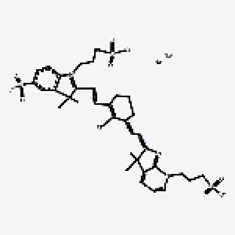 CC1(C)C2=CC=CN(CCCS(=O)(=O)[O-])C2=N/C1=C/C=C1\CCCC(/C=C/C2=[N+](CCCS(=O)(=O)[O-])c3ccc(S(=O)(=O)[O-])cc3C2(C)C)=C1Cl.[Na+].[Na+]